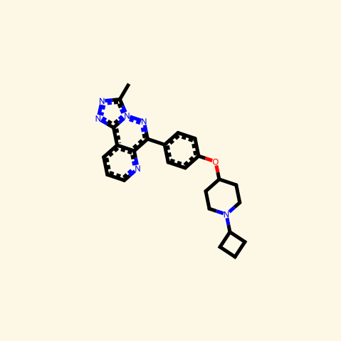 Cc1nnc2c3cccnc3c(-c3ccc(OC4CCN(C5CCC5)CC4)cc3)nn12